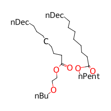 CCCCCCCCCCCCCCCCCC(=O)OCCCCC.CCCCCCCCCCCCCCCCCC(=O)OCCOCCCC